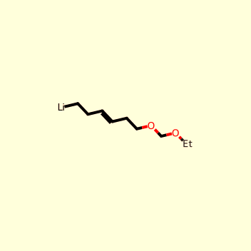 [Li][CH2]C/C=C/CCOCOCC